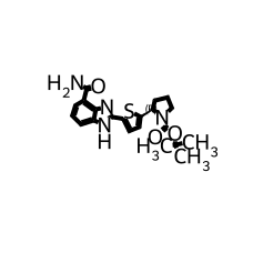 CC(C)(C)OC(=O)N1CCC[C@@H]1c1ccc(-c2nc3c(C(N)=O)cccc3[nH]2)s1